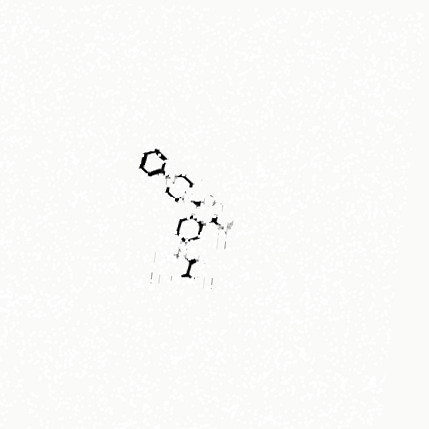 CC(C)C(=O)N(C)[C@@H]1CC[C@H](C(=O)N2CCN(c3ccccc3)CC2)[C@@H](C(=O)NO)C1